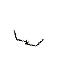 CCCCCCCC/C=C\CCCCCCC(C)OC(C)CCCCCC/C=C\CCCCCCCC